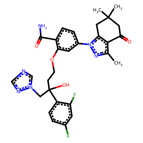 Cc1nn(-c2ccc(C(N)=O)c(OCCC(O)(Cn3cncn3)c3ccc(F)cc3F)c2)c2c1C(=O)CC(C)(C)C2